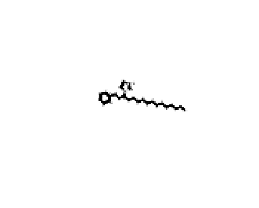 CCCCCCCCCCCCCC(CCc1ccccc1)[n+]1cc[nH]c1